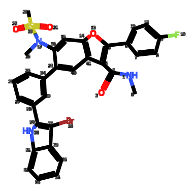 CNC(=O)c1c(-c2ccc(F)cc2)oc2cc(N(C)S(C)(=O)=O)c(-c3cccc(-c4[nH]c5ccccc5c4Br)c3)cc12